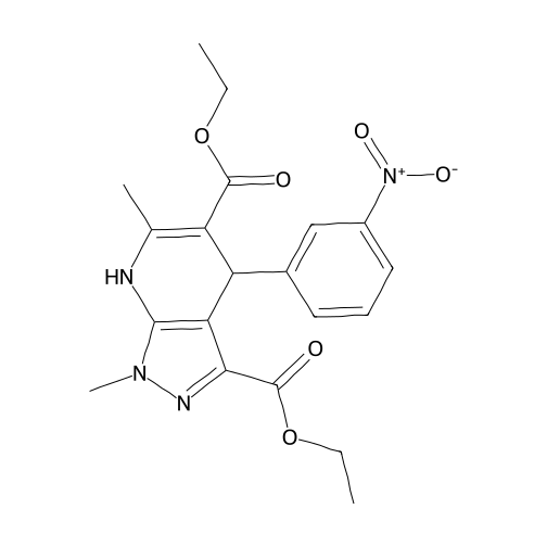 CCOC(=O)C1=C(C)Nc2c(c(C(=O)OCC)nn2C)C1c1cccc([N+](=O)[O-])c1